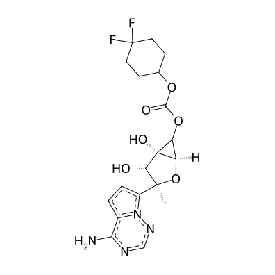 C[C@@]1(c2ccc3c(N)ncnn23)O[C@@H]2C(OC(=O)OC3CCC(F)(F)CC3)[C@]2(O)[C@H]1O